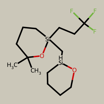 CC1(C)CCC[Si](CCC(F)(F)F)(C[SiH]2CCCCO2)O1